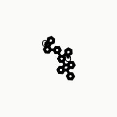 c1ccc(-c2c3ccccc3c(-c3ccc(-c4cccc(-c5cccc6oc7ccccc7c56)c4)c4c3oc3ccccc34)c3ccccc23)cc1